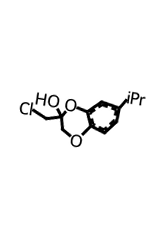 CC(C)c1ccc2c(c1)OC(O)(CCl)CO2